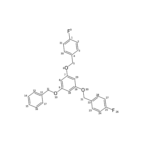 Fc1ccc(COc2cc(OCc3ccccc3)cc(OCc3ccc(F)cc3)c2)cc1